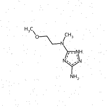 COCCN(C)c1nc(N)n[nH]1